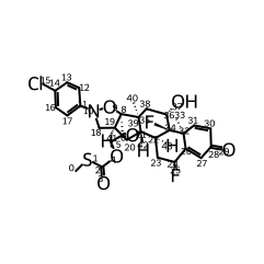 CSC(=O)OCC(=O)[C@@]12ON(c3ccc(Cl)cc3)C[C@@H]1C[C@H]1[C@@H]3C[C@H](F)C4=CC(=O)C=C[C@]4(C)[C@@]3(F)[C@@H](O)C[C@@]12C